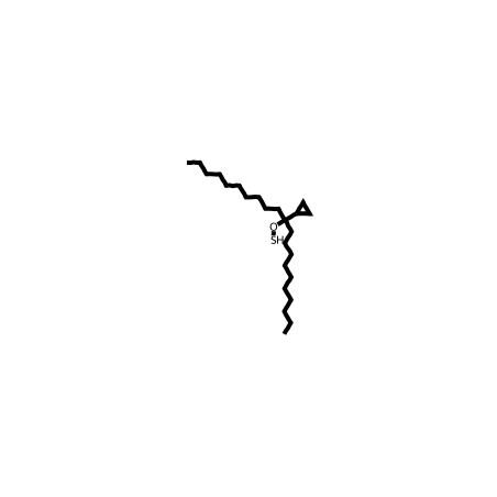 CCCCCCCCCCC(CCCCCCCCCC)(OS)C1CC1